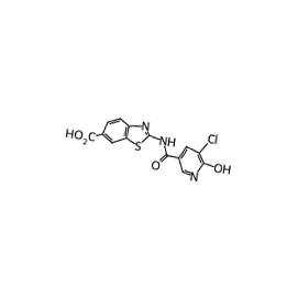 O=C(O)c1ccc2nc(NC(=O)c3cnc(O)c(Cl)c3)sc2c1